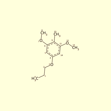 CCCOc1cc(OC)c(C)c(OC)c1